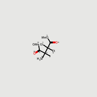 CCC(CC)(C(=O)OC)C(C)([SiH3])C(=O)OC